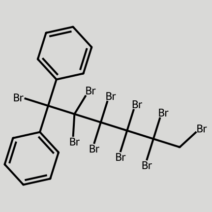 BrCC(Br)(Br)C(Br)(Br)C(Br)(Br)C(Br)(Br)C(Br)(c1ccccc1)c1ccccc1